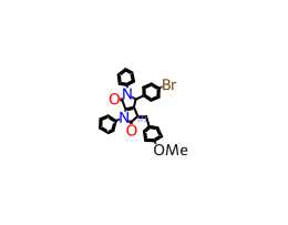 COc1ccc(/C=C2\C(=O)N(c3ccccc3)C3=C2C(c2ccc(Br)cc2)N(c2ccccc2)C3=O)cc1